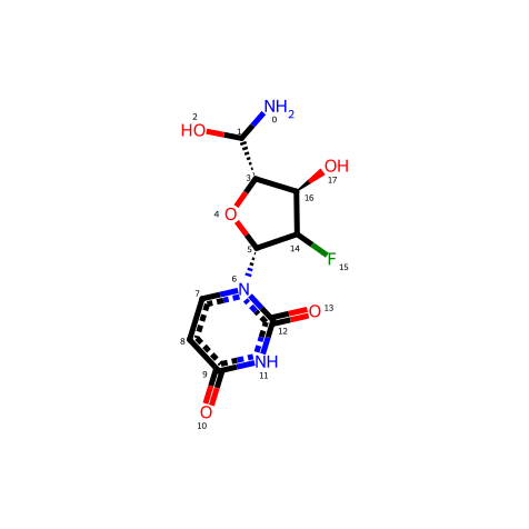 NC(O)[C@H]1O[C@@H](n2ccc(=O)[nH]c2=O)C(F)[C@@H]1O